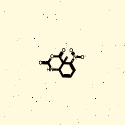 CC12C(=O)OC(=O)NC1C=CC=C2[N+](=O)[O-]